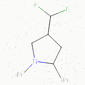 CC(C)C1CC(C(F)F)CN1C(C)C